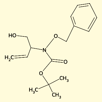 C=CC(CO)N(OCc1ccccc1)C(=O)OC(C)(C)C